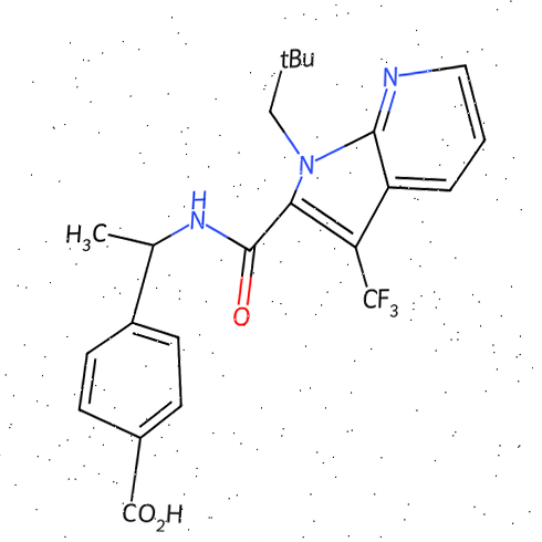 CC(NC(=O)c1c(C(F)(F)F)c2cccnc2n1CC(C)(C)C)c1ccc(C(=O)O)cc1